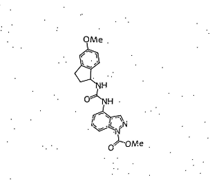 COC(=O)n1ncc2c(NC(=O)NC3CCc4cc(OC)ccc43)cccc21